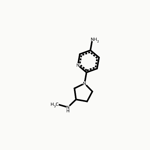 CNC1CCN(c2ccc(N)cn2)C1